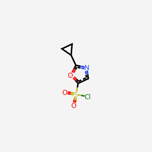 O=S(=O)(Cl)c1cnc(C2CC2)o1